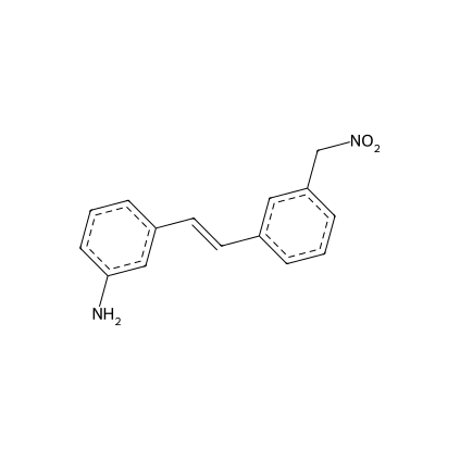 Nc1cccc(C=Cc2cccc(C[N+](=O)[O-])c2)c1